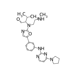 CNCCN(c1ncc(-c2cccc(Nc3nccc(N4CCCC4)n3)c2)o1)C(C=O)C(C)C